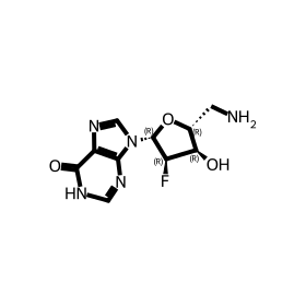 NC[C@H]1O[C@@H](n2cnc3c(=O)[nH]cnc32)[C@H](F)[C@@H]1O